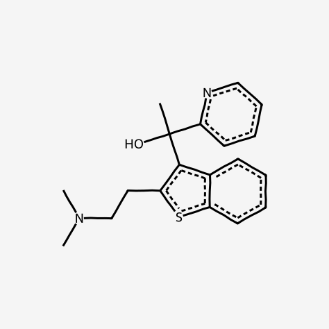 CN(C)CCc1sc2ccccc2c1C(C)(O)c1ccccn1